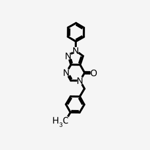 Cc1ccc(Cn2cnc3nn(-c4ccccc4)cc3c2=O)cc1